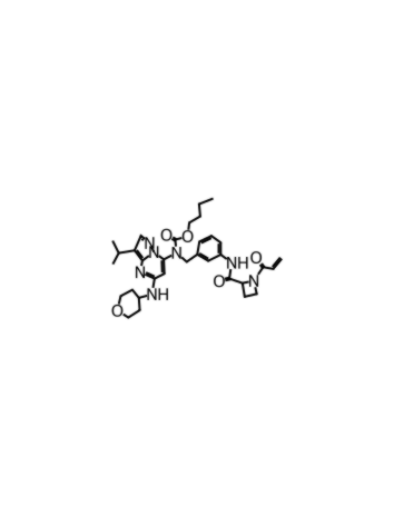 C=CC(=O)N1CCC1C(=O)Nc1cccc(CN(C(=O)OCCCC)c2cc(NC3CCOCC3)nc3c(C(C)C)cnn23)c1